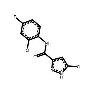 O=C(Nc1ccc(F)cc1Cl)c1cc(Cl)[nH]n1